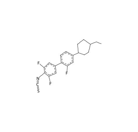 CCC1CCC(c2ccc(-c3cc(F)c(N=C=S)c(F)c3)c(F)c2)CC1